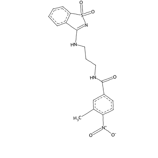 Cc1cc(C(=O)NCCCNC2=NS(=O)(=O)c3ccccc32)ccc1[N+](=O)[O-]